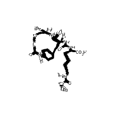 CC(C)[C@H]1COCCC(=O)Nc2ccc(cc2)C[C@@H](NC(=O)NC(CCCCNC(=O)OC(C)(C)C)C(=O)O)C(=O)N1